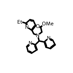 CCc1cccc(CN(CC(=O)OC)C(c2ccccn2)c2ccccn2)n1